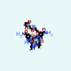 CCn1nc(C)cc1C(=O)Nc1nc2cc(C(N)=O)cc(O)c2n1C/C=C/Cn1c(NC(=O)c2cc(C)nn2CC)nc2cc(C(N)=O)cc(OCCCN(C)C(=O)CCN3C(=O)C=CC3=O)c21